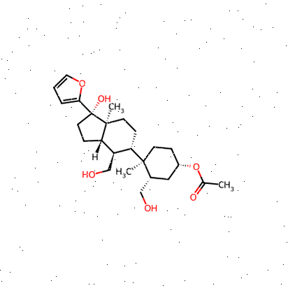 CC(=O)O[C@H]1CC[C@](C)([C@H]2CC[C@@]3(C)[C@@H](CC[C@@]3(O)c3ccco3)[C@@H]2CO)[C@@H](CO)C1